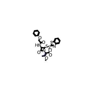 CO/C(C)=C(\C(=O)Cl)N1C(=O)C(NC(=O)COc2ccccc2)C1SSc1nc2ccccc2s1